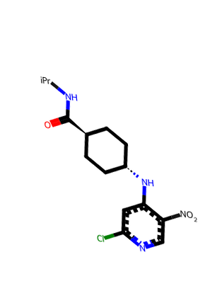 CC(C)NC(=O)[C@H]1CC[C@H](Nc2cc(Cl)ncc2[N+](=O)[O-])CC1